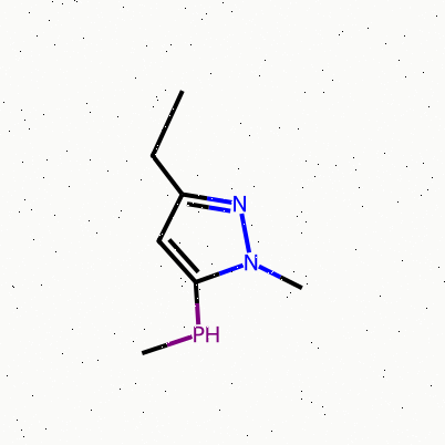 CCc1cc(PC)n(C)n1